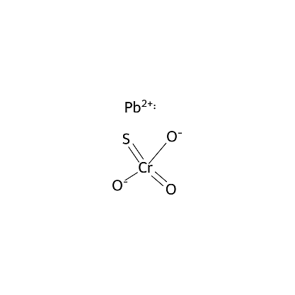 [O]=[Cr]([O-])([O-])=[S].[Pb+2]